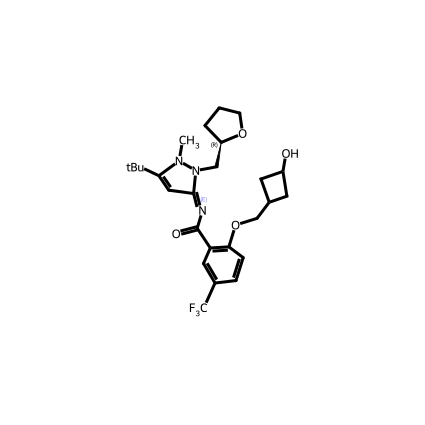 Cn1c(C(C)(C)C)c/c(=N\C(=O)c2cc(C(F)(F)F)ccc2OCC2CC(O)C2)n1C[C@H]1CCCO1